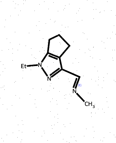 CCn1nc(/C=N/C)c2c1CCC2